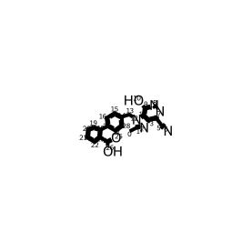 Cc1nc2c(C#N)nnc(O)c2n1Cc1ccc(-c2ccccc2C(=O)O)cc1